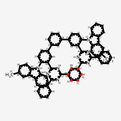 Cc1ccc2c(c1)c1ccccc1n2-c1ccc(-c2cccc(-c3ccc(-n4c5ccccc5c5cc(C)ccc54)c(-c4nc(-c5ccccc5)nc(-c5ccccc5)n4)c3)c2)cc1-c1nc(-c2ccccc2)nc(-c2ccccc2)n1